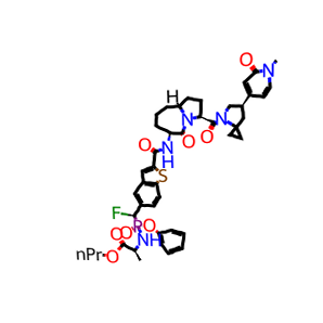 CCCOC(=O)[C@H](C)NP(=O)(Oc1ccccc1)[C@@H](F)c1ccc2sc(C(=O)N[C@H]3CCC[C@H]4CC[C@@H](C(=O)N5C[C@@H](c6ccn(C)c(=O)c6)CC56CC6)N4C3=O)cc2c1